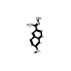 COc1ccc2cc(/C(N)=N/O)ccc2c1